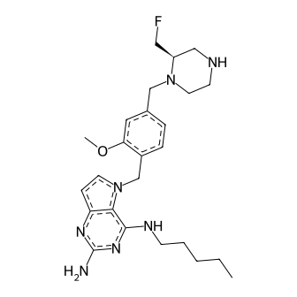 CCCCCNc1nc(N)nc2ccn(Cc3ccc(CN4CCNC[C@@H]4CF)cc3OC)c12